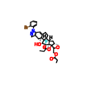 CCC(=O)OCC(=O)C1(OC(=O)CC)[C@@H](C)C[C@H]2[C@@H]3CCC4=Cc5c(cnn5-c5ccccc5Br)C[C@]4(C)[C@@]3(F)[C@@H](O)C[C@@]21C